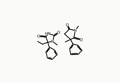 CCC1(c2ccccc2)C(=O)NC(=O)N1C.CN1C(=O)CC(C)(c2ccccc2)C1=O